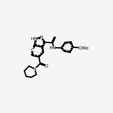 C=C(Nc1ccc(OC)cc1)c1n[nH]c2ccc(C(=O)N3CCCCC3)cc12